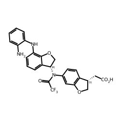 Nc1ccccc1Nc1cccc2c1OC[C@@H]2N(C(=O)C(F)(F)F)c1ccc2c(c1)OC[C@H]2CC(=O)O